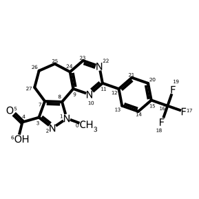 Cn1nc(C(=O)O)c2c1-c1nc(-c3ccc(C(F)(F)F)cc3)ncc1CCC2